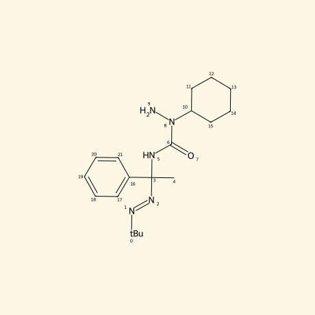 CC(C)(C)N=NC(C)(NC(=O)N(N)C1CCCCC1)c1ccccc1